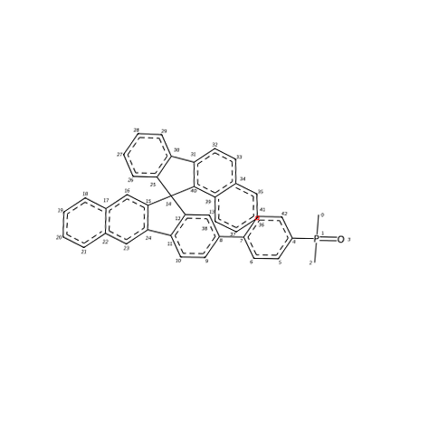 CP(C)(=O)c1ccc(-c2ccc3c(c2)C2(c4cc5ccccc5cc4-3)c3ccccc3-c3ccc4ccccc4c32)cc1